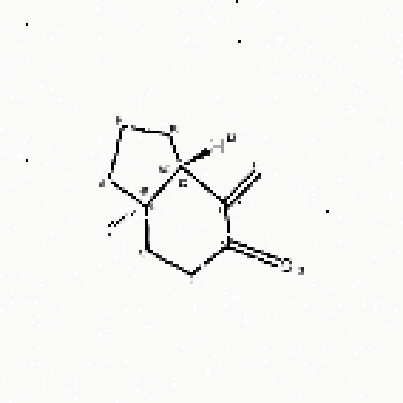 C=C1C(=O)CC[C@@]2(C)CCC[C@H]12